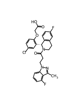 Cc1nn(CCC(=O)N2CCc3cc(F)ccc3[C@H]2c2cc(Cl)ccc2OCC(=O)O)c2cccc(F)c12